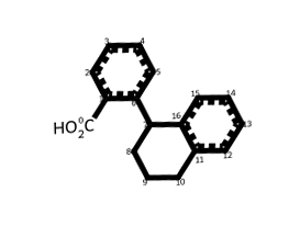 O=C(O)c1ccccc1C1CCCc2ccccc21